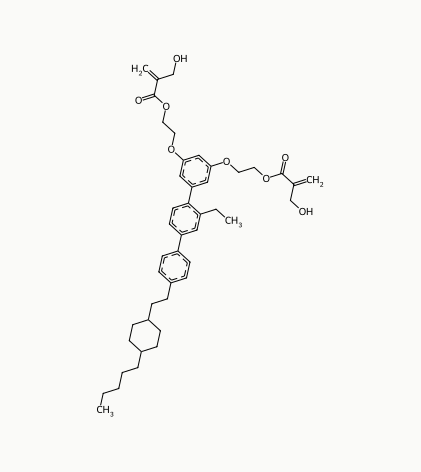 C=C(CO)C(=O)OCCOc1cc(OCCOC(=O)C(=C)CO)cc(-c2ccc(-c3ccc(CCC4CCC(CCCCC)CC4)cc3)cc2CC)c1